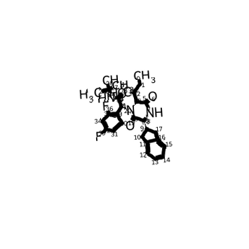 CC[C@@H](C)[C@@H]1C(=O)N[C@H](C2Cc3ccccc3C2)C(=O)N1[C@@H](C(=O)NC(C)(C)C)c1ccc(F)cc1F